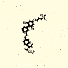 CCc1cc(OCCCS(C)(=O)=O)cc(CC)c1-c1cccc(COc2ccc3c(c2)OC[C@H]3C(C)C(=O)O)c1